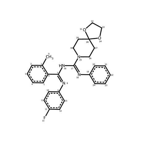 Cc1ccccc1C(=Nc1ccc(F)cc1)NC(=Nc1ccccc1)N1CCC2(CC1)OCCO2